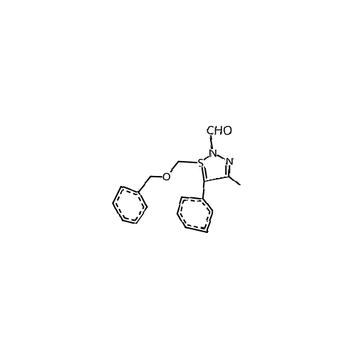 CC1=NN(C=O)S(COCc2ccccc2)=C1c1ccccc1